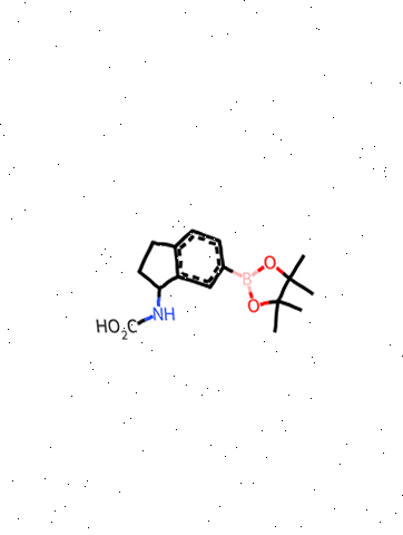 CC1(C)OB(c2ccc3c(c2)C(NC(=O)O)CC3)OC1(C)C